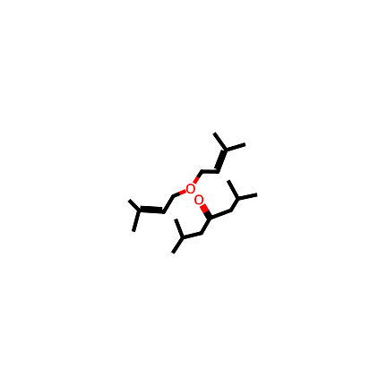 CC(C)=CCOCC=C(C)C.CC(C)CC(=O)CC(C)C